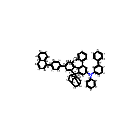 Cc1ccccc1-c1cc(N(c2ccccc2)c2cccc(-c3ccccc3)c2)cc2c1-c1c(C)cc(-c3ccc(-c4cccc5ccccc45)cc3)cc1C21C2CC3CC(C2)CC1C3